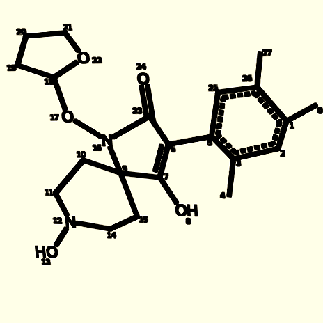 Cc1cc(C)c(C2=C(O)C3(CCN(O)CC3)N(OC3CCCO3)C2=O)cc1C